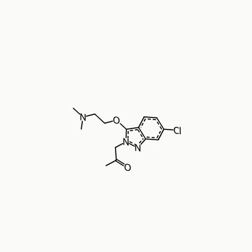 CC(=O)Cn1nc2cc(Cl)ccc2c1OCCN(C)C